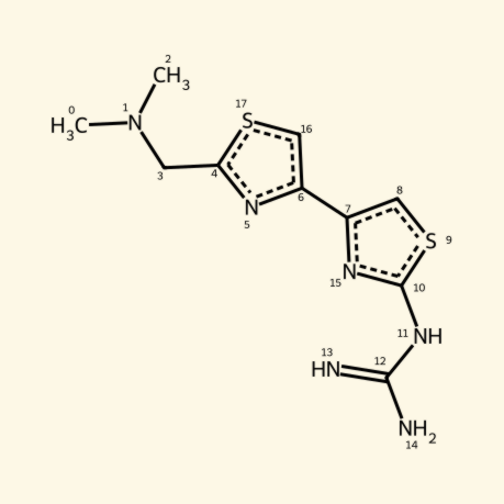 CN(C)Cc1nc(-c2csc(NC(=N)N)n2)cs1